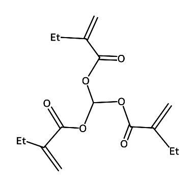 C=C(CC)C(=O)OC(OC(=O)C(=C)CC)OC(=O)C(=C)CC